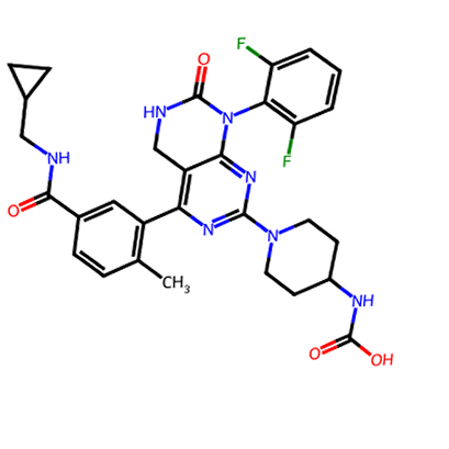 Cc1ccc(C(=O)NCC2CC2)cc1-c1nc(N2CCC(NC(=O)O)CC2)nc2c1CNC(=O)N2c1c(F)cccc1F